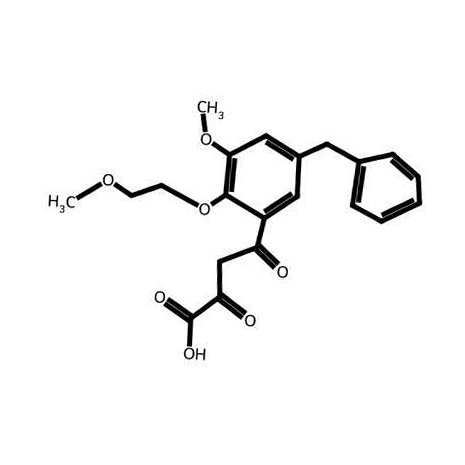 COCCOc1c(OC)cc(Cc2ccccc2)cc1C(=O)CC(=O)C(=O)O